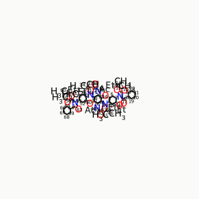 CCOc1cc2c(cc1N(C(=O)OC(C)(C)CC)C(=O)c1ccccc1)Oc1c(N(C(C)=O)C(=O)OC(C)(C)CC)c3c(c(N(C(C)=O)C(=O)OC(C)(C)CC)c1=N2)Oc1cc(N(C(=O)OC(C)(C)CC)C(=O)c2ccccc2)c(C)cc1N=3